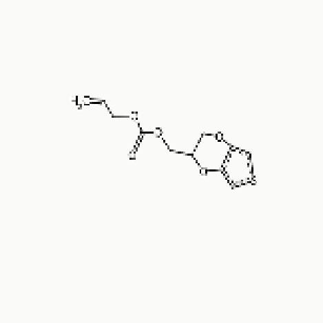 C=CCOC(=O)OCC1COc2cscc2O1